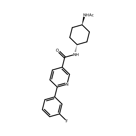 CC(=O)N[C@H]1CC[C@H](NC(=O)c2ccc(-c3cccc(F)c3)nc2)CC1